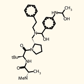 CN[C@@H](C)C(=O)N[C@H](C(=O)N1CCC[C@H]1CN(CCc1ccccc1)C(O)c1ccc(NC(C)O)cc1)C(C)(C)C